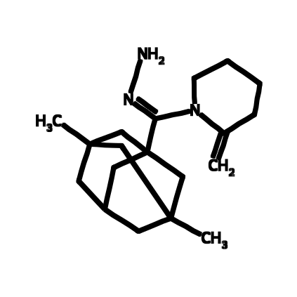 C=C1CCCCN1/C(=N\N)C12CC3CC(C)(CC(C)(C3)C1)C2